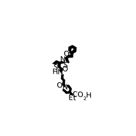 CCC(C(=O)O)C1CCN(C(=O)CCCNC(=O)c2sccc2-c2nc(-c3cc4ccccc4o3)cs2)CC1